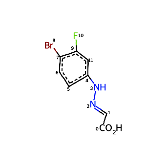 O=C(O)/C=N/Nc1ccc(Br)c(F)c1